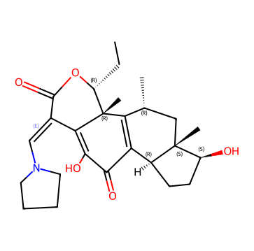 CC[C@H]1OC(=O)/C(=C/N2CCCC2)C2=C(O)C(=O)C3=C([C@H](C)C[C@]4(C)[C@@H](O)CC[C@@H]34)[C@]21C